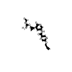 C#CCOc1cnc(C(=O)Nc2cnc(F)c([C@H]3C[C@H]3O/C(N)=N\CF)c2)cn1